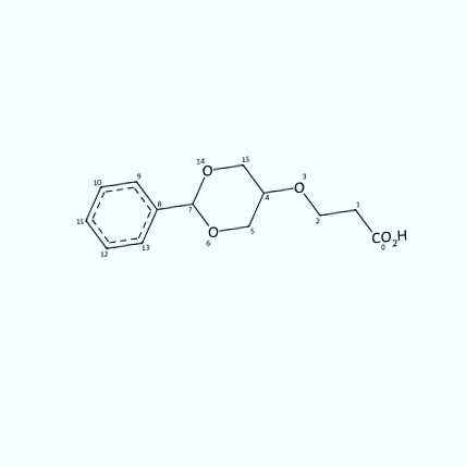 O=C(O)CCOC1COC(c2ccccc2)OC1